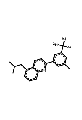 [2H]C([2H])([2H])c1cc(C)cc(-c2ccc3c(CC(C)C)cccc3n2)c1